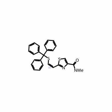 CNC(=O)c1csc(/C=C\SC(c2ccccc2)(c2ccccc2)c2ccccc2)n1